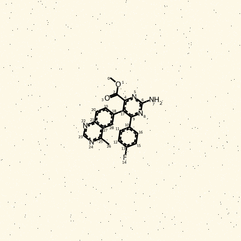 COC(=O)c1nc(N)nc(-c2ccc(F)cc2)c1-c1ccc2ncnc(C)c2c1